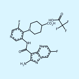 Nc1nn2cc(F)cnc2c1C(=O)Nc1cncc(F)c1N1CCC(C(=O)O)CC1.O=C(O)C(F)(F)F